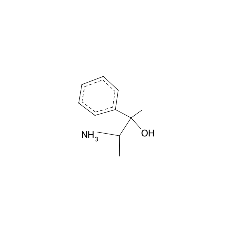 CC(C)C(C)(O)c1ccccc1.N